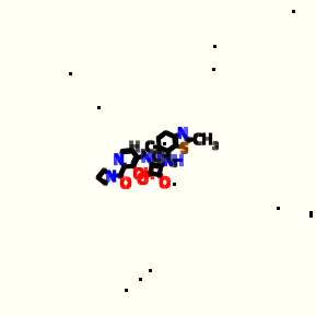 Cc1nc2c(s1)C(Nc1c(Nc3ccnc(C(=O)N4CCC4)c3O)c(=O)c1=O)C(C)(C)CC2